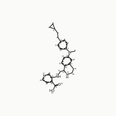 CN(c1ccc(CCC2CC2)cc1)c1ccc2c(c1)CCNC2CNc1cnccc1C(=O)O